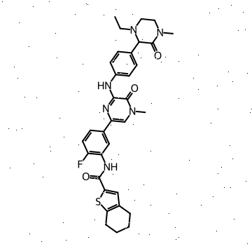 CCN1CCN(C)C(=O)C1c1ccc(Nc2nc(-c3ccc(F)c(NC(=O)c4cc5c(s4)CCCC5)c3)cn(C)c2=O)cc1